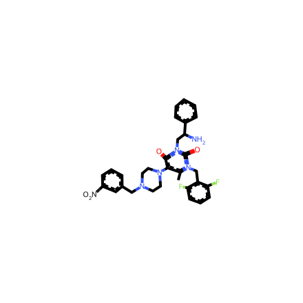 Cc1c(N2CCN(Cc3cccc([N+](=O)[O-])c3)CC2)c(=O)n(CC(N)c2ccccc2)c(=O)n1Cc1c(F)cccc1F